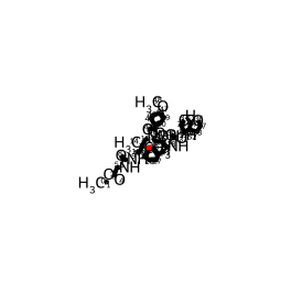 CCOC(=O)CNC(=O)NCCC(C)(C)CN(C[C@@H](O)[C@H](Cc1ccccc1)NC(=O)O[C@H]1CO[C@H]2OCC[C@H]21)S(=O)(=O)c1ccc(OC)cc1